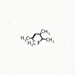 CC(C)=CC(C)C(C)F